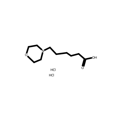 Cl.Cl.O=C(O)CCCCCN1CCOCC1